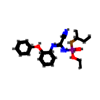 CCOP(=O)(NC(C#N)=Nc1ccccc1Oc1ccccc1)SC(C)CC